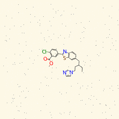 CCC(CCn1ccnc1)Cc1ccc2nc(-c3ccc(Cl)c(C(=O)OC)c3)sc2c1